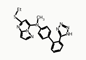 CCSc1cc(N(C)c2ccc(-c3ccccc3-c3nnn[nH]3)cc2)n2nccc2n1